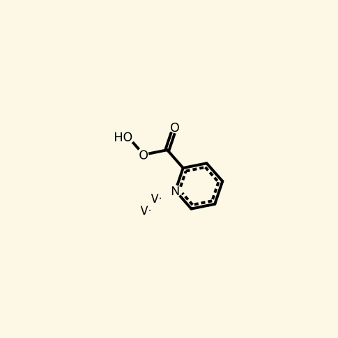 O=C(OO)c1ccccn1.[V].[V]